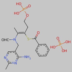 C/C(=C(\CCOP(=O)(O)O)SC(=O)c1ccccc1)N(C=O)Cc1cnc(C)nc1N.O=P(O)(O)O